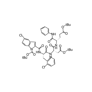 CC(C)(C)OC(=O)CC[C@H](NC(=O)[C@H](CC(=O)OC(C)(C)C)NC(=O)[C@H](Cc1ccccc1Cl)NC(=O)c1cc2cc(Cl)ccc2n1C(=O)OC(C)(C)C)C(=O)Nc1ccccc1